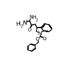 NC(N)C(=O)CC1CN(C(=O)OCc2ccccc2)c2ccccc21